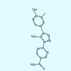 Cc1cc(-c2cnn(-c3ccc(C(=O)O)cn3)c2O)ccc1O